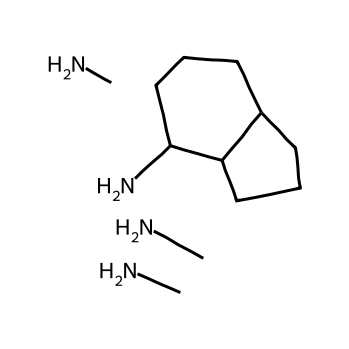 CN.CN.CN.NC1CCCC2CCCC12